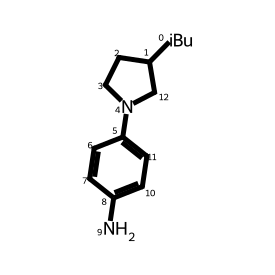 CCC(C)C1CCN(c2ccc(N)cc2)C1